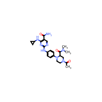 CC(=O)N1CCN(c2ccc(Nc3ncc(C(N)=O)c(NC4CC4)n3)cc2)C(C(=O)N(C)C)C1